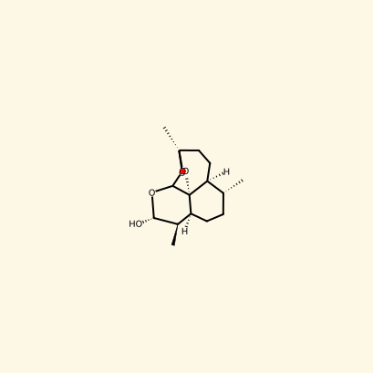 C[C@H]1[C@H](O)OC2O[C@]3(C)CC[C@H]4[C@H](C)CC[C@@H]1[C@@]24OO3